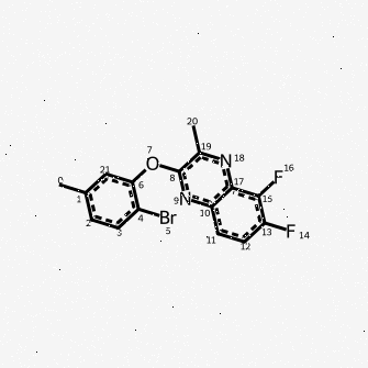 Cc1ccc(Br)c(Oc2nc3ccc(F)c(F)c3nc2C)c1